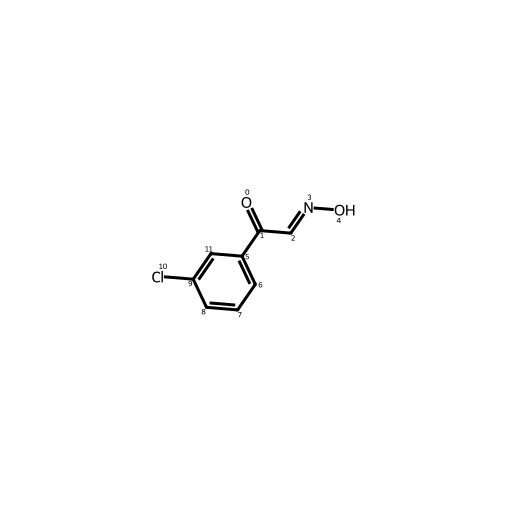 O=C(C=NO)c1cccc(Cl)c1